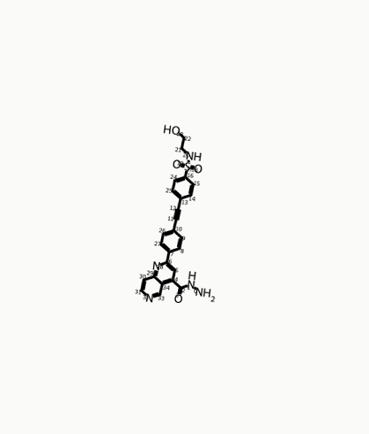 NNC(=O)c1cc(-c2ccc(C#Cc3ccc(S(=O)(=O)NCCO)cc3)cc2)nc2ccncc12